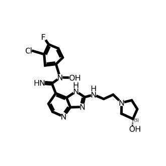 N=C(c1ccnc2nc(NCCN3CC[C@H](O)C3)[nH]c12)N(O)c1ccc(F)c(Cl)c1